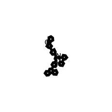 c1cncc(-c2ccccc2-c2nc(-c3ccc(-c4ccc5oc6ccccc6c5c4)cc3)cc(-c3ccc(-c4cc5ccccc5c5ccccc45)cc3)n2)c1